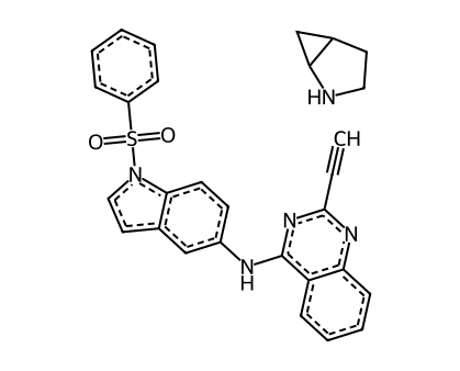 C#Cc1nc(Nc2ccc3c(ccn3S(=O)(=O)c3ccccc3)c2)c2ccccc2n1.C1CC2CC2N1